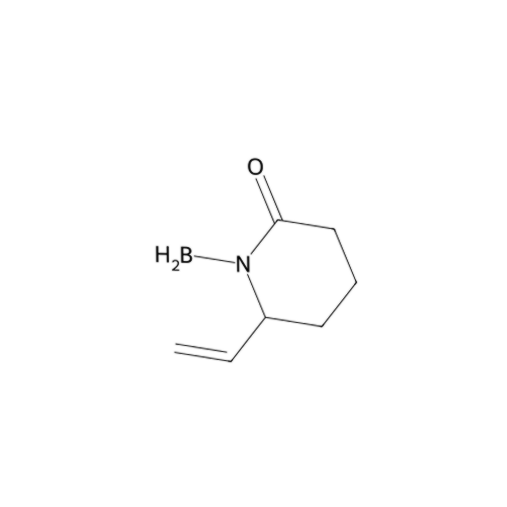 BN1C(=O)CCCC1C=C